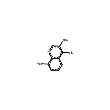 CC(C)(C)c1cnc2c(C(C)(C)C)cccc2c1C#N